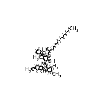 CCCCCCCCCCCCCOCC(O)COc1cc(O)c(-c2nc(-c3ccc(C)cc3C)nc(-c3ccc(C)cc3C)n2)cc1C(C)(C)c1ccccc1